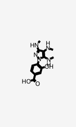 CNc1nn(-c2ccc(C(=O)O)cc2O)c(NC)c1NC